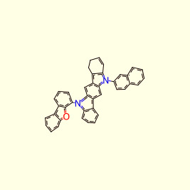 C1=Cc2c(c3cc4c(cc3n2-c2ccc3ccccc3c2)c2ccccc2n4-c2cccc3c2oc2ccccc23)CC1